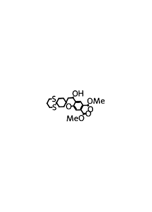 COC(=O)c1cc2c(cc1C(=O)OC)C(O)CC1(CCC3(CC1)SCCCS3)O2